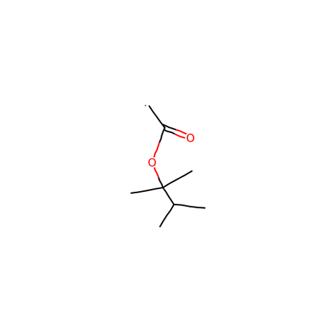 [CH2]C(=O)OC(C)(C)C(C)C